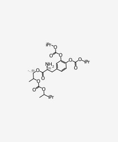 CC(C)OC(=O)Oc1ccc(C[C@H](N)C(=O)O[C@@H](C)C(C)OC(=O)OC(C)C(C)C)cc1OC(=O)OC(C)C